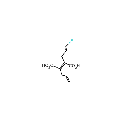 C=CCC(C(=O)O)=C(CC=CF)C(=O)O